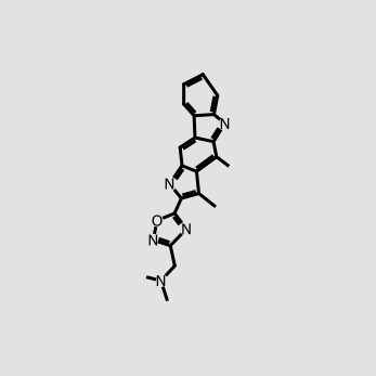 CC1=C(c2nc(CN(C)C)no2)N=c2cc3c(c(C)c21)=Nc1ccccc1-3